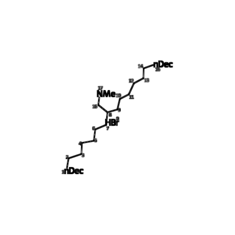 Br.CCCCCCCCCCCCCCCCC(CCCCCCCCCCCCCCCC)CNC